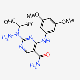 COc1cc(Nc2nc(N(N)C(C=O)C(C)C)ncc2C(N)=O)cc(OC)c1